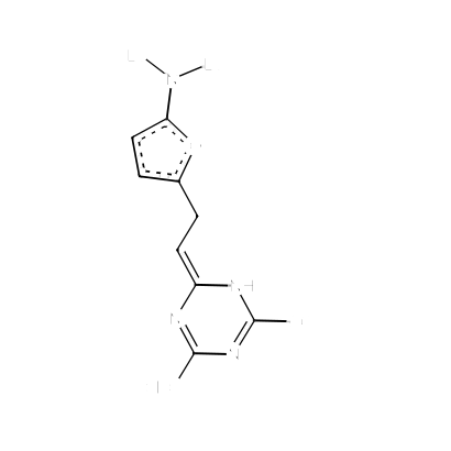 CCN(CC)c1ccc(CC=C2N=C(C(Cl)(Cl)Cl)N=C(C(Cl)(Cl)Cl)N2)o1